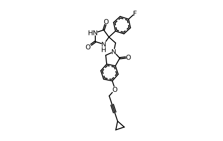 O=C1NC(=O)C(CN2Cc3ccc(OCC#CC4CC4)cc3C2=O)(c2ccc(F)cc2)N1